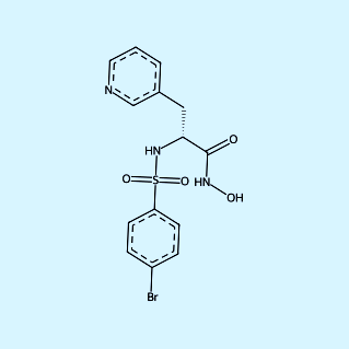 O=C(NO)[C@@H](Cc1cccnc1)NS(=O)(=O)c1ccc(Br)cc1